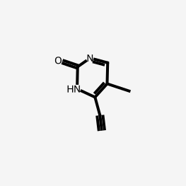 C#Cc1[nH]c(=O)ncc1C